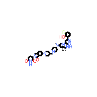 CC[C@@]12CNc3nnc(-c4cccc(F)c4O)cc3N1C[C@H](N(C)C1CCN(CC3CCN(c4ccc5c(c4)C(=O)N([C@H]4CCC(=O)NC4=O)C5)CC3)CC1)C2